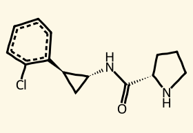 O=C(N[C@@H]1C[C@H]1c1ccccc1Cl)[C@@H]1CCCN1